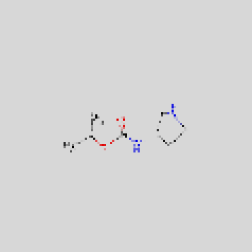 CC(C)OC(=O)N[C@H]1CCNC1